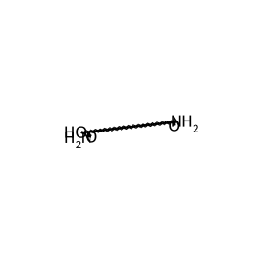 NC(=O)CCCCCCCCCCCCCCCCCCCCCCCCCCCCCCCCCCCC(CCO)C(N)=O